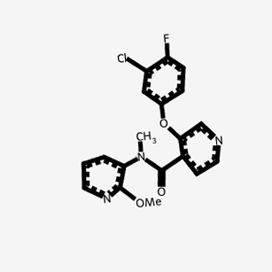 COc1ncccc1N(C)C(=O)c1ccncc1Oc1ccc(F)c(Cl)c1